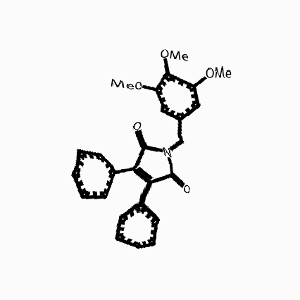 COc1cc(CN2C(=O)C(c3ccccc3)=C(c3ccccc3)C2=O)cc(OC)c1OC